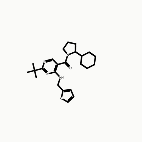 CC(C)(C)c1ncc(C(=O)N2CCCC2C2CCCCC2)c(NCc2ccco2)n1